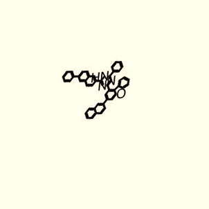 c1ccc(-c2ccc3cc(C4=NC(c5cc(-c6ccc7ccccc7c6)cc6oc7ccccc7c56)=NC(c5ccccc5)N4)ccc3c2)cc1